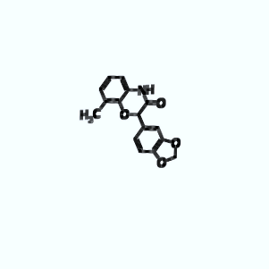 Cc1cccc2c1OC(c1ccc3c(c1)OCO3)C(=O)N2